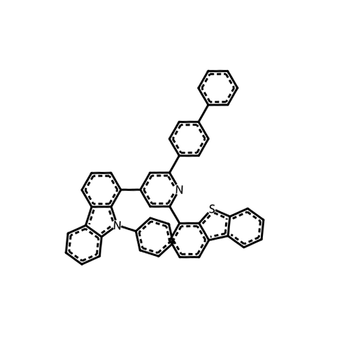 c1ccc(-c2ccc(-c3cc(-c4cccc5c6ccccc6n(-c6ccccc6)c45)cc(-c4cccc5c4sc4ccccc45)n3)cc2)cc1